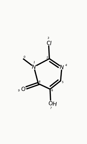 Cn1c(Cl)ncc(O)c1=O